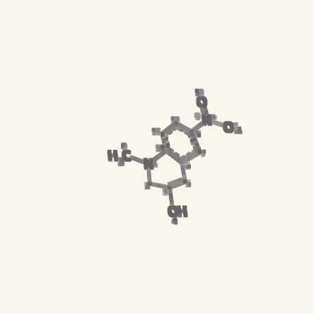 CN1CC(O)=Cc2cc([N+](=O)[O-])ccc21